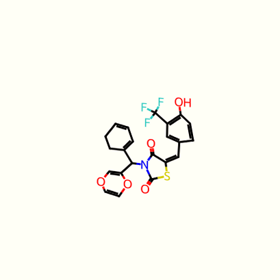 O=C1SC(=Cc2ccc(O)c(C(F)(F)F)c2)C(=O)N1C(C1=CC=CCC1)C1=COC=CO1